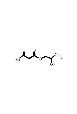 CC(O)COC(=O)CC(=O)O